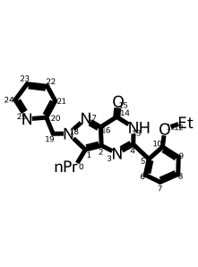 CCCc1c2nc(-c3ccccc3OCC)[nH]c(=O)c2nn1Cc1ccccn1